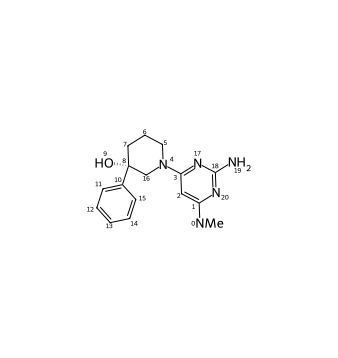 CNc1cc(N2CCC[C@](O)(c3ccccc3)C2)nc(N)n1